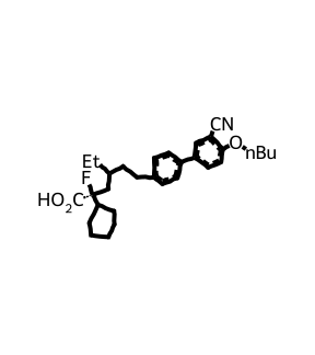 CCCCOc1ccc(-c2ccc(CCC(CC)C[C@@](F)(C(=O)O)C3CCCCC3)cc2)cc1C#N